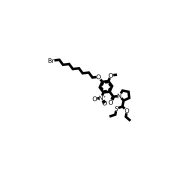 CCOC(SCC)C1CCCN1C(=O)c1cc(OC)c(OCCCCCCCCBr)cc1[N+](=O)[O-]